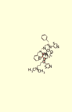 COC(=O)N(c1cncs1)[C@@H](Cc1ccccc1)CN(Cc1ccc(OCCCN(C)C)cc1)C[C@@H](Cc1ccccc1)NC(=O)OCc1cncs1